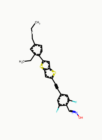 CCCCc1ccc(-c2cc3sc(C#Cc4cc(F)c(/C=N/O)c(F)c4)cc3s2)c(CC)c1